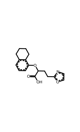 O=C(O)C(CCc1ncco1)Oc1cccc2c1CCCC2